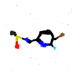 CC(C)(C)[S@+]([O-])/N=C/c1ccc(Br)c(F)n1